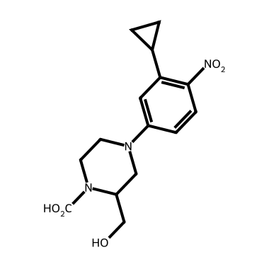 O=C(O)N1CCN(c2ccc([N+](=O)[O-])c(C3CC3)c2)CC1CO